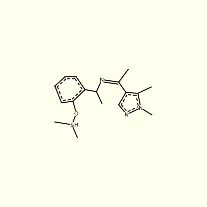 CC(=NC(C)c1ccccc1O[SiH](C)C)c1cnn(C)c1C